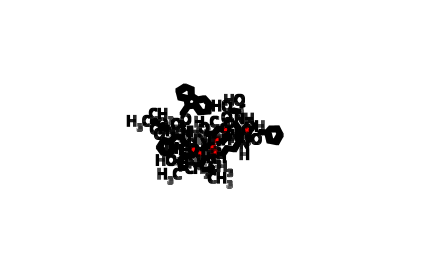 CC[C@H](C)[C@H](NC(=O)[C@@H](CCCCNC(=O)OCc1ccccc1)NC(=O)[C@H](CC(C)C)NC(=O)C(NC(=O)[C@@H](NC(=O)OCC1c2ccccc2-c2ccccc21)[C@H](NC(=O)OC(C)(C)C)c1ccccc1)[C@H](O)C(C)C)C(=O)N[C@H](C(=O)NCC(=O)N[C@@H](CO)C(=O)N[C@@H](CO)C(=O)O)[C@H](C)O